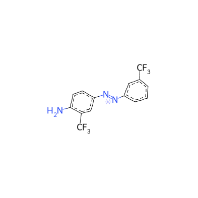 Nc1ccc(/N=N/c2cccc(C(F)(F)F)c2)cc1C(F)(F)F